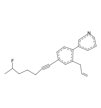 C=CCc1cc(C#CCCCC(C)F)ccc1-c1cccnc1